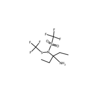 CCC(N)(CC)N(SC(F)(F)F)S(=O)(=O)C(F)(F)F